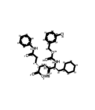 COC(=O)[C@H](CCC(=O)Nc1ccccc1)NC(=O)[C@H](CC1CCCCC1)NC(=O)OCc1cccc(Cl)c1